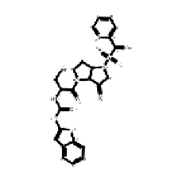 CC(C)CC(NC(=O)Oc1cc2ccccc2s1)C(=O)N1CCC2C1C(=O)CN2S(=O)(=O)C(=O)c1ccccn1